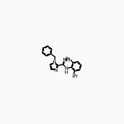 CC(C)c1cccc(C(C)C)c1NC(=N)c1nccn1Cc1ccccc1